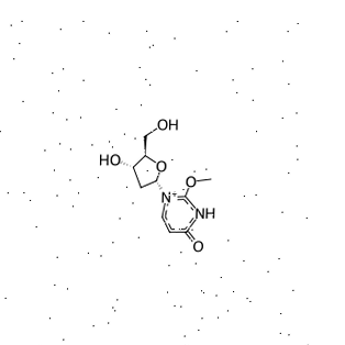 COc1[nH]c(=O)cc[n+]1[C@@H]1C[C@H](O)[C@@H](CO)O1